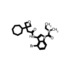 CCN(C)C(=O)n1cc(NC(=O)CC2(C3CCCCCC3)COC2)c2c(Br)cccc21